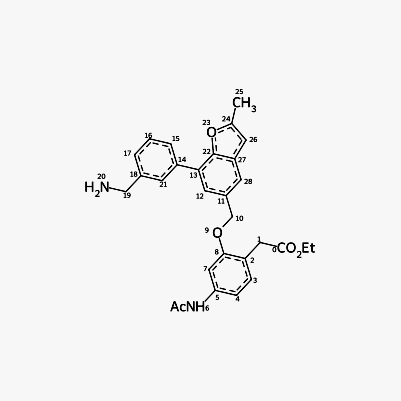 CCOC(=O)Cc1ccc(NC(C)=O)cc1OCc1cc(-c2cccc(CN)c2)c2oc(C)cc2c1